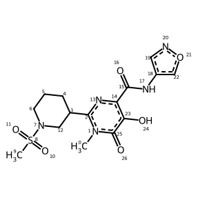 Cn1c(C2CCCN(S(C)(=O)=O)C2)nc(C(=O)Nc2cnoc2)c(O)c1=O